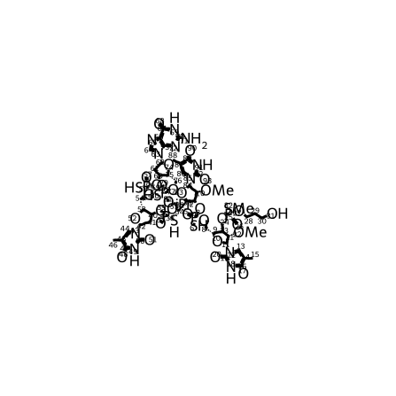 CO[C@H]1C(OP(=O)(S)OC[C@H]2O[C@@H](n3cc(C)c(=O)[nH]c3=O)[C@@H](OC)C2OP(=O)(OCCCO)SC)[C@@H](COP(=O)(S)OC2C[C@H](n3cc(C)c(=O)[nH]c3=O)O[C@@H]2COP(=O)(S)OC2C[C@H](n3cnc4c(=O)[nH]c(N)nc43)O[C@@H]2COP(=O)(S)OC(C)C)O[C@H]1n1cc(C)c(=O)[nH]c1=O